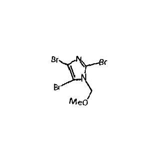 COCn1c(Br)nc(Br)c1Br